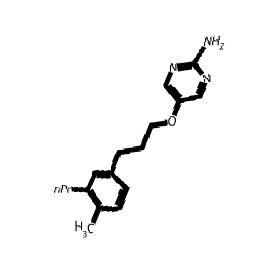 CCCc1cc(CCCOc2cnc(N)nc2)ccc1C